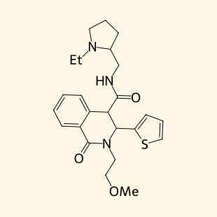 CCN1CCCC1CNC(=O)C1c2ccccc2C(=O)N(CCOC)C1c1cccs1